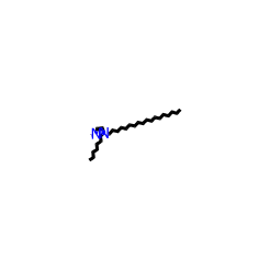 CCCCCCCCCCCCCCCCCCN1C=CN(C)C1CCCCCC